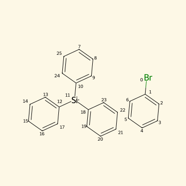 Brc1ccccc1.c1ccc([Si](c2ccccc2)c2ccccc2)cc1